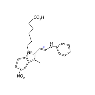 Cn1c(/C=C/Nc2ccccc2)[n+](CCCCCC(=O)O)c2ccc([N+](=O)[O-])cc21